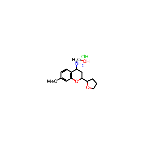 CO.COc1ccc2c(c1)OC(C1CCCO1)CC2N.Cl